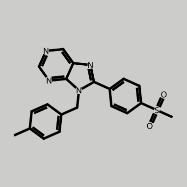 Cc1ccc(Cn2c(-c3ccc(S(C)(=O)=O)cc3)nc3cncnc32)cc1